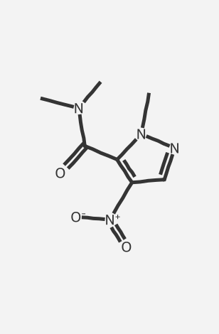 CN(C)C(=O)c1c([N+](=O)[O-])cnn1C